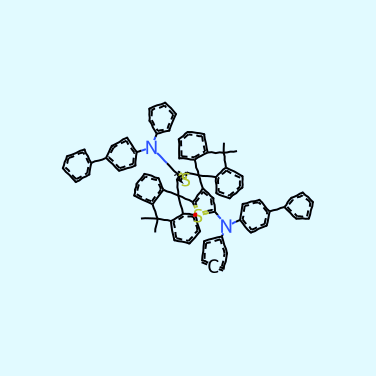 CC1(C)c2ccccc2C2(c3ccccc31)c1cc(N(c3ccccc3)c3ccc(-c4ccccc4)cc3)sc1C1(c3ccccc3C(C)(C)c3ccccc31)c1cc(N(c3ccccc3)c3ccc(-c4ccccc4)cc3)sc12